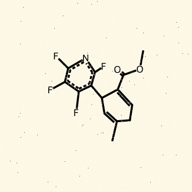 COC(=O)C1=CCC(C)=CC1c1c(F)nc(F)c(F)c1F